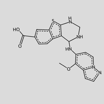 COc1c(NC2NCNc3sc4cc(C(=O)O)ccc4c32)ccn2nccc12